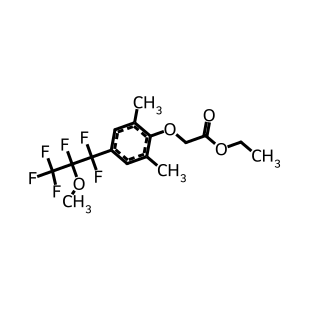 CCOC(=O)COc1c(C)cc(C(F)(F)C(F)(OC)C(F)(F)F)cc1C